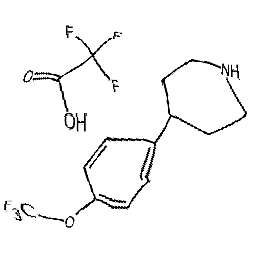 FC(F)(F)Oc1ccc(C2CCNCC2)cc1.O=C(O)C(F)(F)F